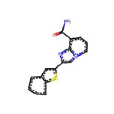 NC(=O)c1cccn2cc(-c3cc4ccccc4s3)nc12